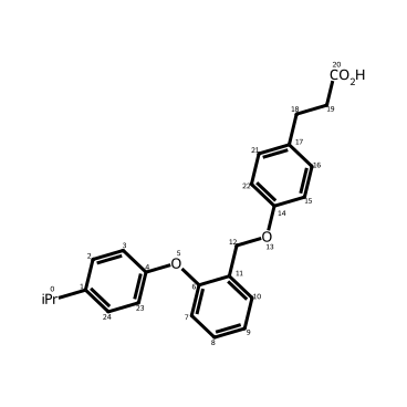 CC(C)c1ccc(Oc2ccccc2COc2ccc(CCC(=O)O)cc2)cc1